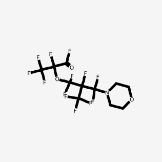 O=C(F)C(F)(OC(F)(F)C(F)(C(F)(F)F)C(F)(F)N1CCOCC1)C(F)(F)F